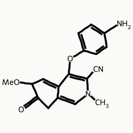 COC1C=C2C(=CN(C)C(C#N)=C2Oc2ccc(N)cc2)CC1=O